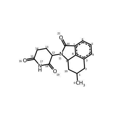 CC1Cc2cccc3c2C(C1)N(C1CCC(=O)NC1=O)C3=O